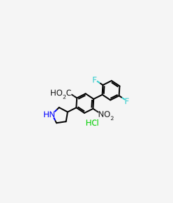 Cl.O=C(O)c1cc(-c2cc(F)ccc2F)c([N+](=O)[O-])cc1C1CCNC1